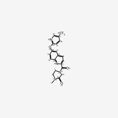 CN1CCN(C(=O)c2ccc3cc(Oc4ccc(C(F)(F)F)cn4)ccc3n2)CC1=O